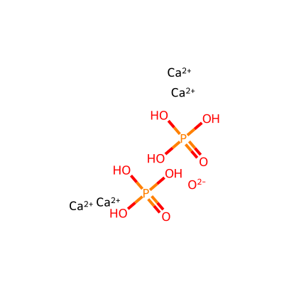 O=P(O)(O)O.O=P(O)(O)O.[Ca+2].[Ca+2].[Ca+2].[Ca+2].[O-2]